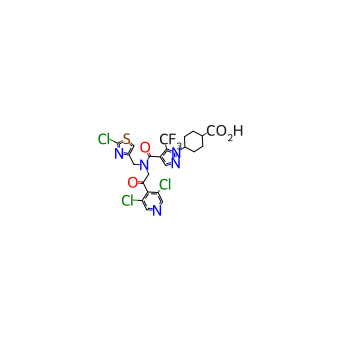 O=C(CN(Cc1csc(Cl)n1)C(=O)c1cnn(C2CCC(C(=O)O)CC2)c1C(F)(F)F)c1c(Cl)cncc1Cl